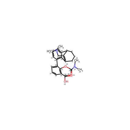 CN(C)CC1=C2CCCC1c1cccc(-c3cccc(C(=O)O)c3OC(=O)N(C)C)c12